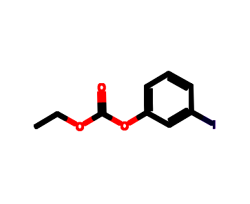 CCOC(=O)Oc1cccc(I)c1